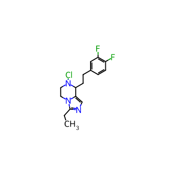 CCc1ncc2n1CCN(Cl)C2CCc1ccc(F)c(F)c1